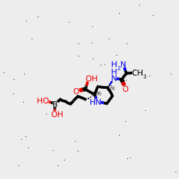 CC(N)C(=O)N[C@H]1CCN[C@@](CCCCB(O)O)(C(=O)O)C1